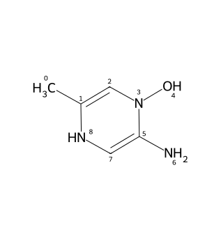 CC1=CN(O)C(N)=CN1